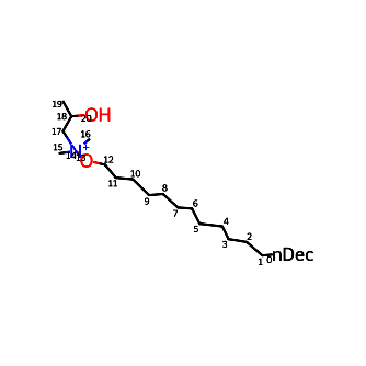 CCCCCCCCCCCCCCCCCCCCCCO[N+](C)(C)CC(C)O